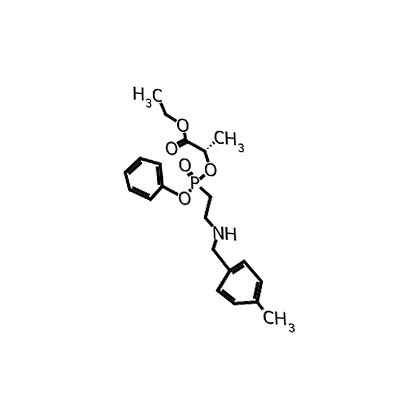 CCOC(=O)[C@H](C)OP(=O)(CCNCc1ccc(C)cc1)Oc1ccccc1